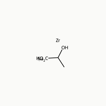 CC(O)C(=O)O.[Na].[Zr]